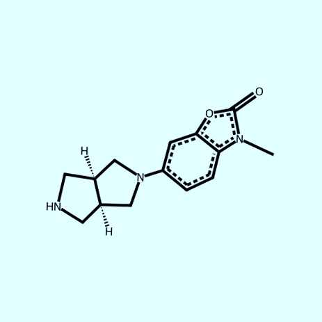 Cn1c(=O)oc2cc(N3C[C@H]4CNC[C@H]4C3)ccc21